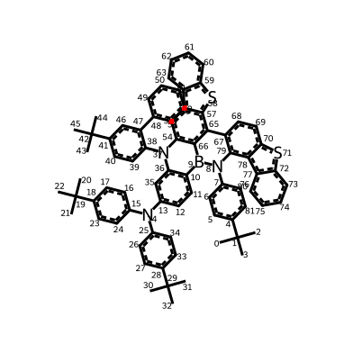 CC(C)(C)c1ccc(N2B3c4ccc(N(c5ccc(C(C)(C)C)cc5)c5ccc(C(C)(C)C)cc5)cc4N(c4ccc(C(C)(C)C)cc4-c4ccccc4)c4cc5c(sc6ccccc65)c(c43)-c3ccc4sc5ccccc5c4c32)cc1